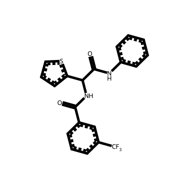 O=C(NC(C(=O)Nc1ccccc1)c1cccs1)c1cccc(C(F)(F)F)c1